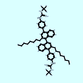 CCCCCCCCc1cc(-c2c(CCCCCCCC)cc(-c3ccc(NC(=O)OC(C)(C)C)cc3)c3ccccc23)c2ccccc2c1-c1ccc(NC(=O)OC(C)(C)C)cc1